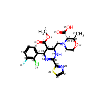 COC(=O)C1=C(CN2CCO[C@H](C)[C@H]2C(=O)O)NC(c2nccs2)=N[C@H]1c1cccc(F)c1Cl